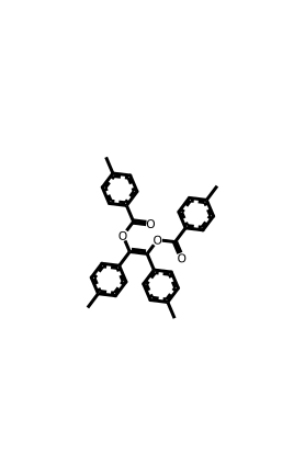 Cc1ccc(C(=O)OC(=C(OC(=O)c2ccc(C)cc2)c2ccc(C)cc2)c2ccc(C)cc2)cc1